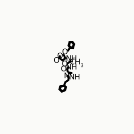 C[C@H](NC1CC(=O)OC1OCc1ccccc1)C(=O)NC(=O)c1c[nH]c(CCc2ccccc2)n1